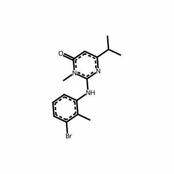 Cc1c(Br)cccc1Nc1nc(C(C)C)cc(=O)n1C